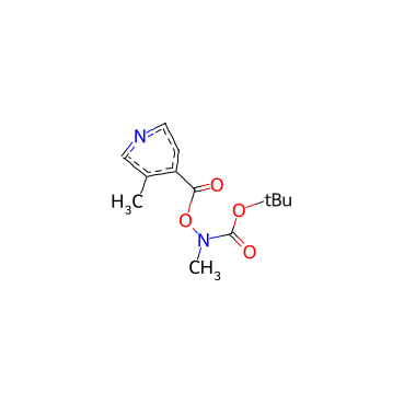 Cc1cnccc1C(=O)ON(C)C(=O)OC(C)(C)C